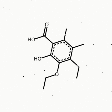 CCOc1c(O)c(C(=O)O)c(C)c(C)c1CC